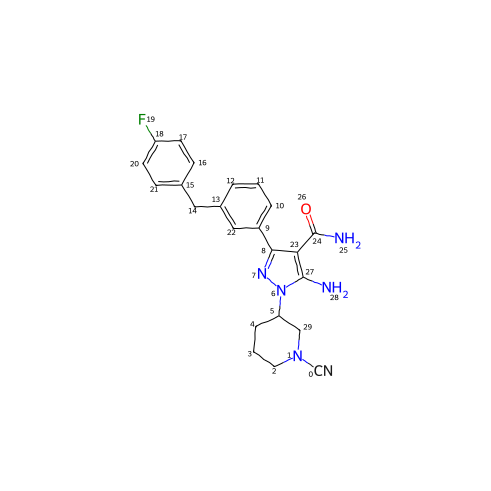 N#CN1CCCC(n2nc(-c3cccc(Cc4ccc(F)cc4)c3)c(C(N)=O)c2N)C1